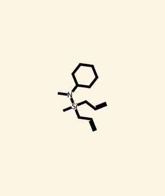 C=CC[Si](C)(CC=C)N(C)C1CCCCC1